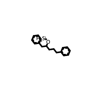 [SiH3]OC(CCCc1ccccc1)Cc1ccccc1